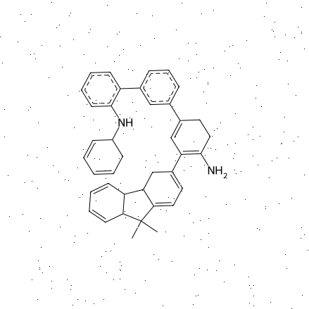 CC1(C)C2=CC=C(C3=C(N)CCC(c4cccc(-c5ccccc5NC5C=CC=CC5)c4)=C3)CC2C2C=CC=CC21